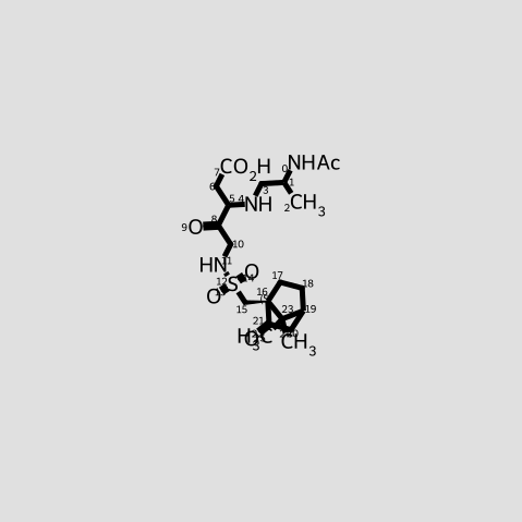 CC(=O)NC(C)CNC(CC(=O)O)C(=O)CNS(=O)(=O)C[C@]12CCC(CC1=O)C2(C)C